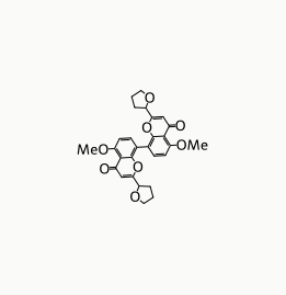 COc1ccc(-c2ccc(OC)c3c(=O)cc(C4CCCO4)oc23)c2oc(C3CCCO3)cc(=O)c12